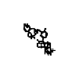 Cc1ccc(C(c2ccc3c(nnn3C)c2C)C(C)C(=O)O)cc1CN1Cc2cnccc2OC(C)(C)C1